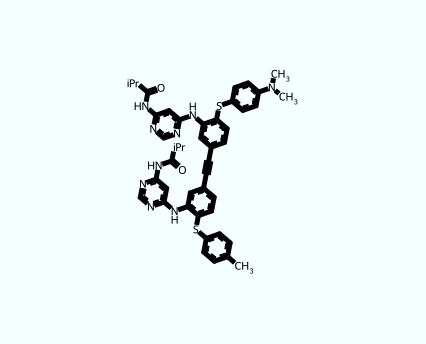 Cc1ccc(Sc2ccc(C#Cc3ccc(Sc4ccc(N(C)C)cc4)c(Nc4cc(NC(=O)C(C)C)ncn4)c3)cc2Nc2cc(NC(=O)C(C)C)ncn2)cc1